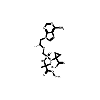 CCCCCCOC(=O)C(C)(C)NP(=O)(CO[C@H](C)Cn1cnc2c(N)ncnc21)NC1(C(=O)OCC(C)C)CC1